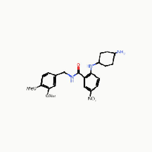 COc1ccc(CNC(=O)c2cc([N+](=O)[O-])ccc2NC2CCC(N)CC2)cc1OC